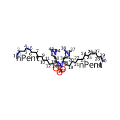 CCCCC/C=C\C/C=C\CCCCCCCCOP(=O)(OCCCCCCCC/C=C\C/C=C\CCCCC)N(CCCN(C)C)CCCN(C)C